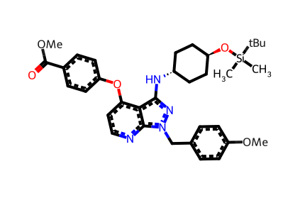 COC(=O)c1ccc(Oc2ccnc3c2c(N[C@H]2CC[C@H](O[Si](C)(C)C(C)(C)C)CC2)nn3Cc2ccc(OC)cc2)cc1